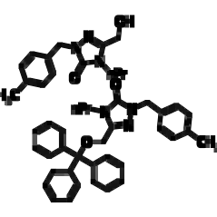 CCCn1c(CO)nn(Cc2ccc(C)cc2)c1=O.CCCn1c(COC(c2ccccc2)(c2ccccc2)c2ccccc2)nn(Cc2ccc(C)cc2)c1=O